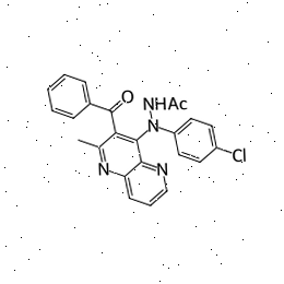 CC(=O)NN(c1ccc(Cl)cc1)c1c(C(=O)c2ccccc2)c(C)nc2cccnc12